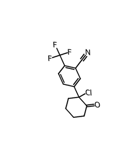 N#Cc1cc(C2(Cl)CCCCC2=O)ccc1C(F)(F)F